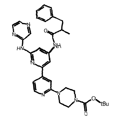 CC(Cc1ccccc1)C(=O)Nc1cc(Nc2cnccn2)nc(-c2ccnc(N3CCN(C(=O)OC(C)(C)C)CC3)c2)c1